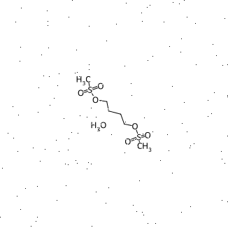 CS(=O)(=O)OCCCCOS(C)(=O)=O.O